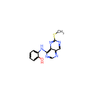 CSc1ncc2ncnc(Nc3ccccc3O)c2n1